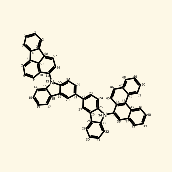 c1ccc2c(c1)-c1cccc3c(-n4c5ccccc5c5cc(-c6ccc7c(c6)c6ccccc6n7-c6cc7ccccc7c7c6ccc6ccccc67)ccc54)ccc-2c13